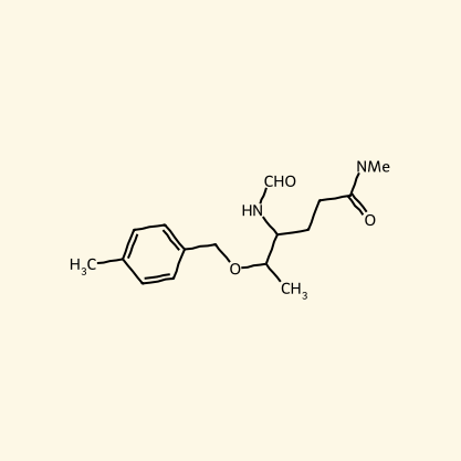 CNC(=O)CCC(NC=O)C(C)OCc1ccc(C)cc1